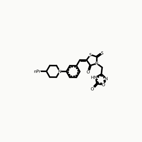 CCCC1CCN(c2cccc(C=C3SC(=S)N(Cc4noc(=O)[nH]4)C3=O)c2)CC1